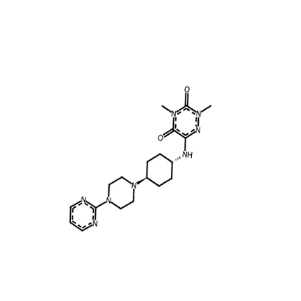 Cn1nc(N[C@H]2CC[C@H](N3CCN(c4ncccn4)CC3)CC2)c(=O)n(C)c1=O